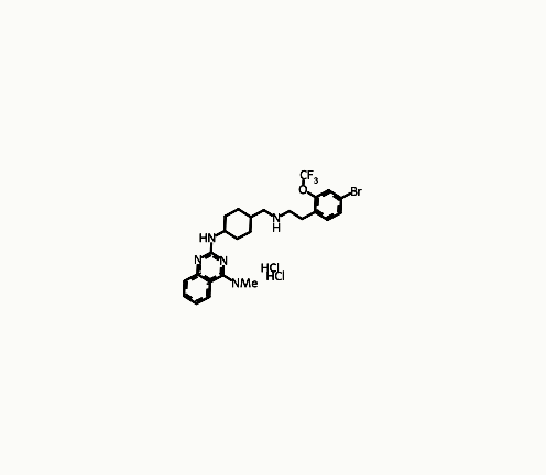 CNc1nc(NC2CCC(CNCCc3ccc(Br)cc3OC(F)(F)F)CC2)nc2ccccc12.Cl.Cl